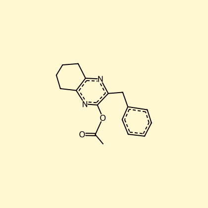 CC(=O)Oc1nc2c(nc1Cc1ccccc1)CCCC2